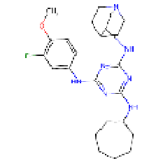 COc1ccc(Nc2nc(NC3CCCCCC3)nc(NC3CN4CCC3CC4)n2)cc1F